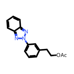 CC(=O)OCCc1cccc(-n2nc3ccccc3n2)c1